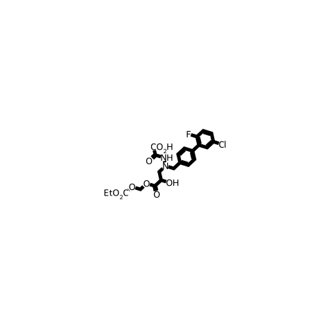 CCOC(=O)OCOC(=O)C(O)CN(Cc1ccc(-c2cc(Cl)ccc2F)cc1)NC(=O)C(=O)O